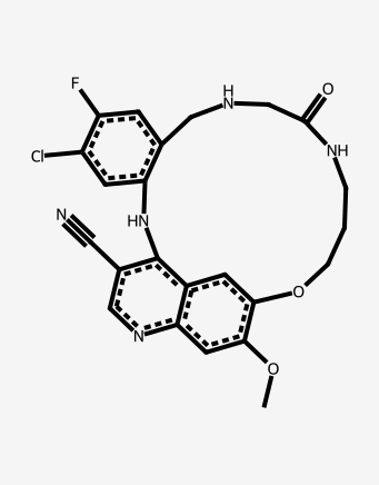 COc1cc2ncc(C#N)c3c2cc1OCCCNC(=O)CNCc1cc(F)c(Cl)cc1N3